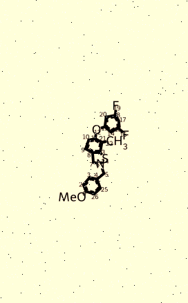 COc1ccc(CN2Cc3ccc(Oc4cc(F)cc(F)c4)c(C)c3S2)cc1